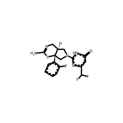 NC1=NC[C@H]2CN(c3nc(C(F)F)cc(=O)[nH]3)C[C@]2(c2ccccc2F)S1